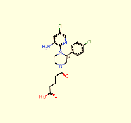 Nc1cc(Cl)cnc1N1CCN(C(=O)CCCC(=O)O)C[C@@H]1c1ccc(Cl)cc1